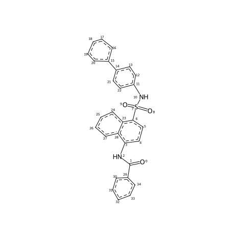 O=C(Nc1ccc(S(=O)(=O)Nc2ccc(-c3ccccc3)cc2)c2ccccc12)c1ccccc1